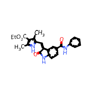 CCOC(=O)c1c(C)[nH]c(C=C2C(=O)Nc3ccc(C(=O)Nc4ccccc4)cc32)c1C